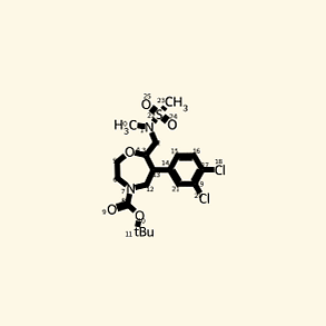 CN(CC1OCCN(C(=O)OC(C)(C)C)CC1c1ccc(Cl)c(Cl)c1)S(C)(=O)=O